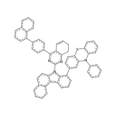 C1=Cc2c(nc(-n3c4ccc5ccccc5c4c4cccc(-c5ccc6c(c5)N(c5ccccc5)c5ccccc5S6)c43)nc2-c2ccc(-c3cccc4ccccc34)cc2)CC1